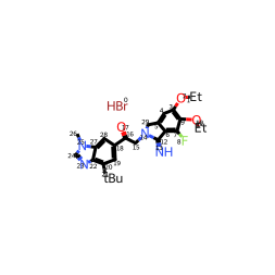 Br.CCOc1cc2c(c(F)c1OCC)C(=N)N(CC(=O)c1cc(C(C)(C)C)c3ncn(C)c3c1)C2